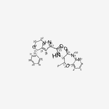 CC1Oc2cccnc2N(C)C(=O)[C@H]1NC(=O)c1cc2n(n1)CCO[C@H]2c1ccccc1